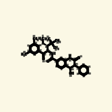 CC[C@@H](N(NC(=O)c1ccc2c(c1)NC(=O)N(c1ccccc1)B2O)C(=O)c1cc(C)cc(C)c1)C(C)(C)C